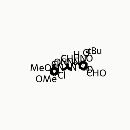 COc1cc(OC)c(Cl)c(N2Cc3cnc(N[C@@H]4CC[C@@H](OC=O)C[C@@H]4NC(=O)OC(C)(C)C)nc3N(C)C2=O)c1Cl